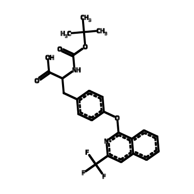 CC(C)(C)OC(=O)NC(Cc1ccc(Oc2nc(C(F)(F)F)cc3ccccc23)cc1)C(=O)O